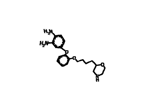 Nc1ccc(Oc2ccccc2OCCCCC2CNCCO2)cc1N